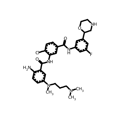 CN(C)CCCN(C)c1ccc(N)c(C(=O)Nc2cc(C(=O)Nc3cc(F)cc(C4CNCCO4)c3)ccc2Cl)c1